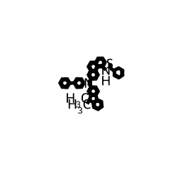 CC1(C)c2ccccc2-c2ccc(N(c3ccc(-c4ccccc4)cc3)c3ccc4c(ccc5ccc6c(c54)NC(C4C=CC=CC4)S6)c3)cc21